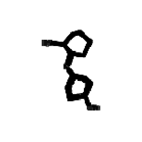 COc1ccc(N=C2CCCCC2C)cc1